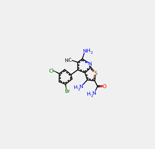 N#Cc1c(N)nc2sc(C(N)=O)c(N)c2c1-c1cc(Cl)cc(Br)c1